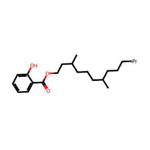 CC(C)CCCC(C)CCCC(C)CCOC(=O)c1ccccc1O